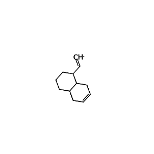 [CH]=CC1CCCC2CC=CCC12